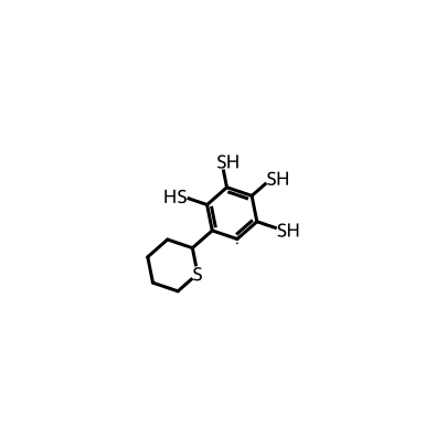 Sc1[c]c(C2CCCCS2)c(S)c(S)c1S